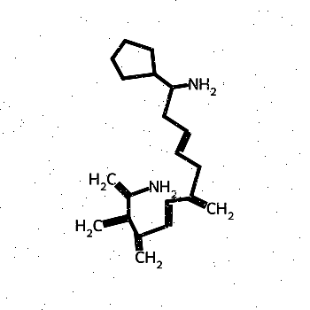 C=C(C=CC(=C)C(=C)C(=C)N)CC=CCC(N)C1CCCC1